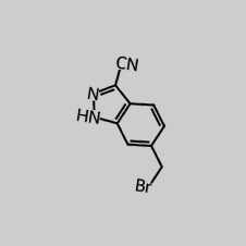 N#Cc1n[nH]c2cc(CBr)ccc12